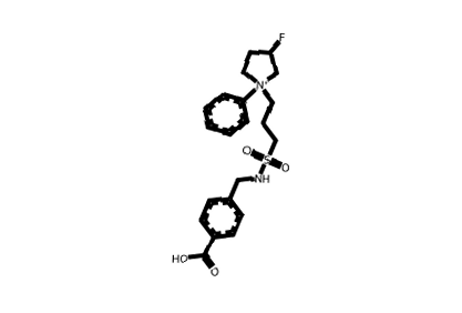 O=C(O)c1ccc(CNS(=O)(=O)CCC[N+]2(c3ccccc3)CCC(F)C2)cc1